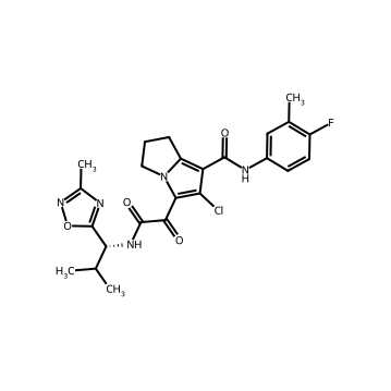 Cc1noc([C@H](NC(=O)C(=O)c2c(Cl)c(C(=O)Nc3ccc(F)c(C)c3)c3n2CCC3)C(C)C)n1